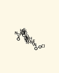 CN(C)CCC(CSc1ccccc1)Nc1ccc(S(=O)(=O)Nc2ncnc3c2CCN(C2CCN(Cc4ccccc4-c4ccc(Cl)cc4)CC2F)C3)cc1S(=O)(=O)C(F)(F)F